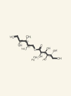 O.O=C(OC[C@H](O)[C@@H](O)[C@H](O)CO)[C@H](O)[C@@H](O)[C@H](O)[C@H](O)CO.[Fe]